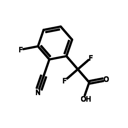 N#Cc1c(F)cccc1C(F)(F)C(=O)O